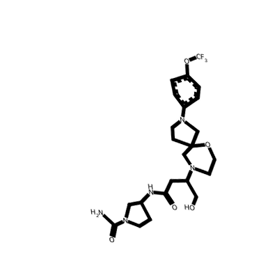 NC(=O)N1CCC(NC(=O)CC(CO)N2CCOC3(CCN(c4ccc(OC(F)(F)F)cc4)C3)C2)C1